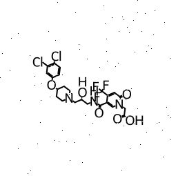 O=C(O)Cn1cc(C(=O)NC[C@@H](O)CN2CCC(Oc3ccc(Cl)c(Cl)c3)CC2)c(C(F)(F)F)cc1=O